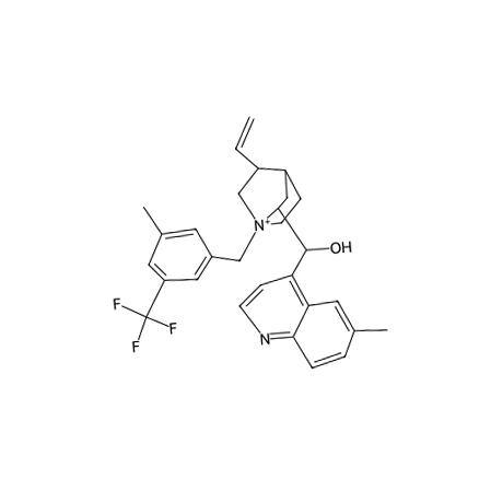 C=CC1C[N+]2(Cc3cc(C)cc(C(F)(F)F)c3)CCC1CC2C(O)c1ccnc2ccc(C)cc12